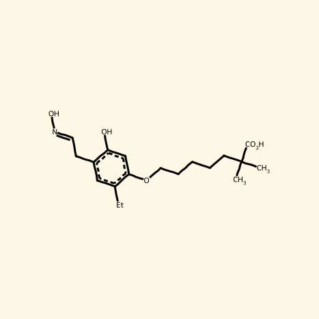 CCc1cc(CC=NO)c(O)cc1OCCCCCC(C)(C)C(=O)O